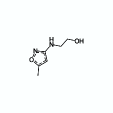 Cc1cc(NCCO)no1